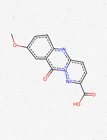 COc1ccc2nc3ccc(C(=O)O)nn3c(=O)c2c1